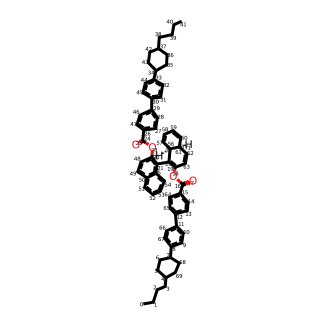 CCCCC1CCC(c2ccc(-c3ccc(C(=O)OC4=C(c5c(OC(=O)c6ccc(-c7ccc(C8CCC(CCCC)CC8)cc7)cc6)ccc6ccccc56)[C@H]5C=CC=C[C@H]5C=C4)cc3)cc2)CC1